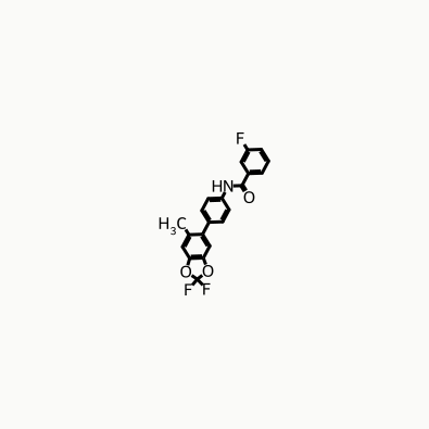 Cc1cc2c(cc1-c1ccc(NC(=O)c3cccc(F)c3)cc1)OC(F)(F)O2